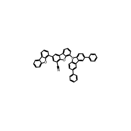 N#Cc1cc(-c2cccc3c2oc2ccccc23)cc2c1oc1c(-n3c4ccc(-c5ccccc5)cc4c4cc(-c5ccccc5)ccc43)cccc12